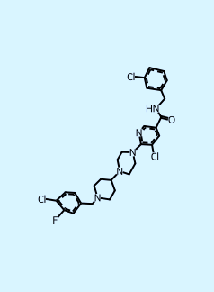 O=C(NCc1cccc(Cl)c1)c1cnc(N2CCN(C3CCN(Cc4ccc(Cl)c(F)c4)CC3)CC2)c(Cl)c1